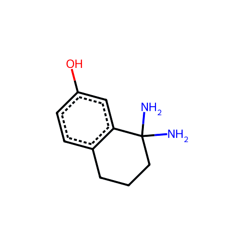 NC1(N)CCCc2ccc(O)cc21